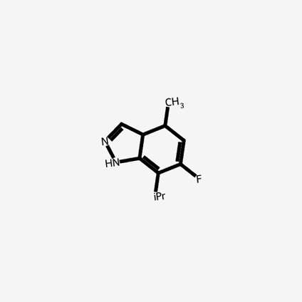 CC(C)C1=C2NN=CC2C(C)C=C1F